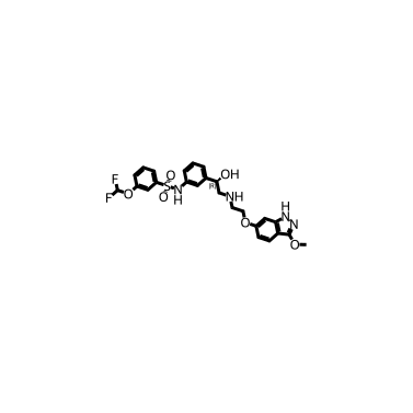 COc1n[nH]c2cc(OCCNC[C@H](O)c3cccc(NS(=O)(=O)c4cccc(OC(F)F)c4)c3)ccc12